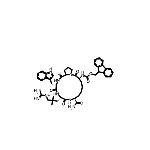 CC(C)(CNC(=N)N)C[C@@H]1NC(=O)[C@H](Cc2c[nH]c3ccccc23)NC(=O)C2CCCN2C(=O)[C@@H](NC(=O)OCC2c3ccccc3-c3ccccc32)CCCC[C@@H](C(N)=O)NC1=O